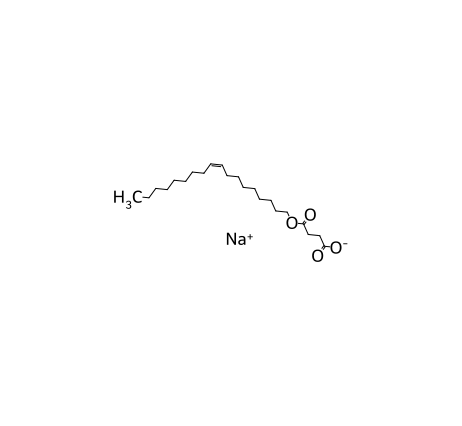 CCCCCCCC/C=C\CCCCCCCCOC(=O)CCC(=O)[O-].[Na+]